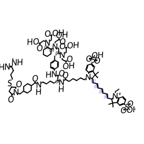 CC[N+]1=C(/C=C/C=C/C=C/C=C2/N(CCCCCC(=O)N[C@@H](CCCCNC(=O)C3CCC(CN4C(=O)CC(SCCCC(=N)NC)C4=O)CC3)C(=O)Nc3ccc(C[C@H](CN(CC(=O)O)[C@H]4CCCC[C@@H]4N(CC(=O)O)CC(=O)O)N(CC(=O)O)CC(=O)O)cc3)c3ccc(S(=O)(=O)O)cc3C2(C)C)C(C)(C)c2cc(S(=O)(=O)O)ccc21